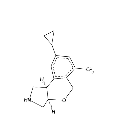 FC(F)(F)c1cc(C2CC2)cc2c1CO[C@H]1CNC[C@@H]21